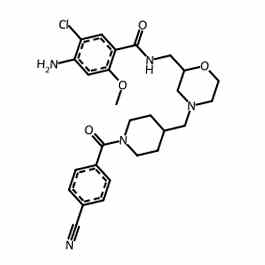 COc1cc(N)c(Cl)cc1C(=O)NCC1CN(CC2CCN(C(=O)c3ccc(C#N)cc3)CC2)CCO1